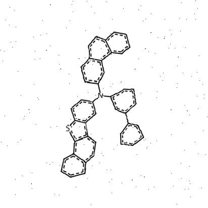 c1ccc(-c2cccc(N(c3ccc4ccc5ccccc5c4c3)c3ccc4sc5c6ccccc6ccc5c4c3)c2)cc1